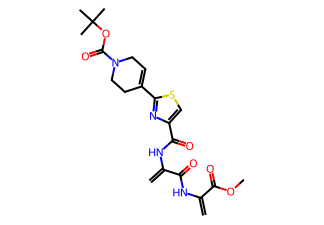 C=C(NC(=O)c1csc(C2=CCN(C(=O)OC(C)(C)C)CC2)n1)C(=O)NC(=C)C(=O)OC